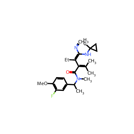 C=N/C(NC1(C)CC1)=C(\CC)C(C(=O)N(C)C(C)c1ccc(OC)c(F)c1)=C(C)C